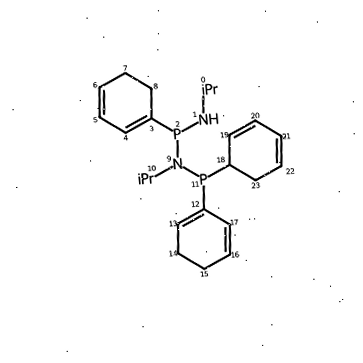 CC(C)NP(C1=CC=CCC1)N(C(C)C)P(C1=CCCC=C1)C1C=CC=CC1